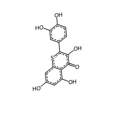 O=c1c(O)c(-c2ccc(O)c(O)c2)sc2cc(O)cc(O)c12